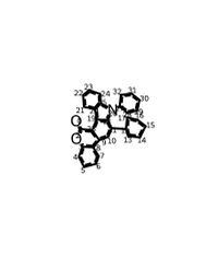 O=c1oc2ccccc2c2cc(-c3ccccc3)c3c(c4ccccc4n3-c3ccccc3)c12